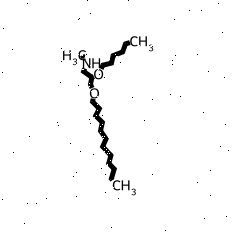 CCCCCCCCCCCCOCC(CNC)OCCCCCC